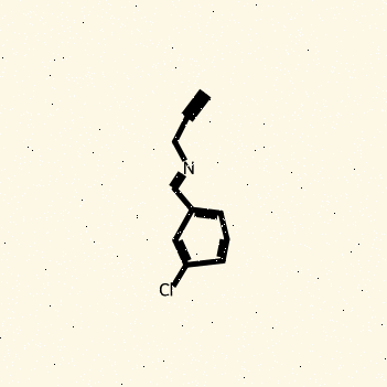 C#CCN=Cc1cccc(Cl)c1